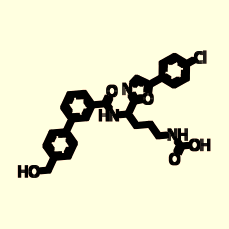 O=C(O)NCCCC(NC(=O)c1cccc(-c2ccc(CO)cc2)c1)c1ncc(-c2ccc(Cl)cc2)o1